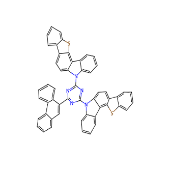 c1ccc2c(c1)cc(-c1nc(-n3c4ccccc4c4c5sc6ccccc6c5ccc43)nc(-n3c4ccccc4c4c5sc6ccccc6c5ccc43)n1)c1ccccc12